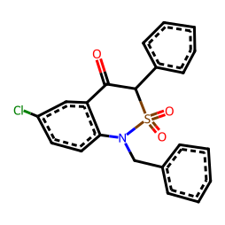 O=C1c2cc(Cl)ccc2N(Cc2ccccc2)S(=O)(=O)C1c1ccccc1